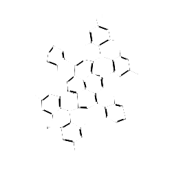 Cc1cc(C)c(B(c2c(C)cc(C)cc2C)c2cc(-c3ccccc3F)c3ccc4c(B(c5c(C)cc(C)cc5C)c5c(C)cc(C)cc5C)cc(-c5ccccc5F)c5ccc2c3c45)c(C)c1